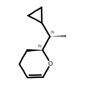 C[C@@H](C1CC1)[C@@H]1CCC=CO1